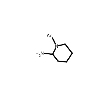 CC(=O)N1CCCCC1N